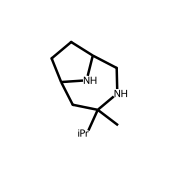 CC(C)C1(C)CC2CCC(CN1)N2